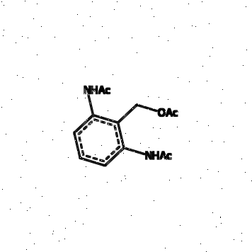 CC(=O)Nc1cccc(NC(C)=O)c1COC(C)=O